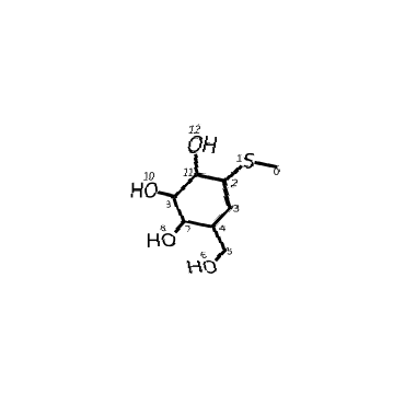 CSC1CC(CO)C(O)C(O)C1O